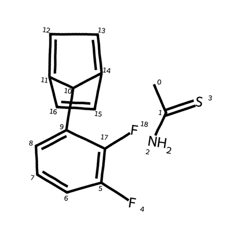 CC(N)=S.Fc1cccc(C2C3=CC=C2C=C3)c1F